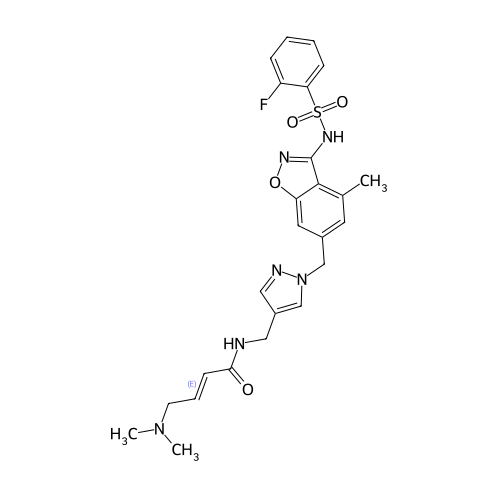 Cc1cc(Cn2cc(CNC(=O)/C=C/CN(C)C)cn2)cc2onc(NS(=O)(=O)c3ccccc3F)c12